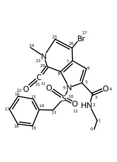 CCNC(=O)c1cc2c(n1S(=O)(=O)Cc1ccccc1)C(=C=O)N(C)C=C2Br